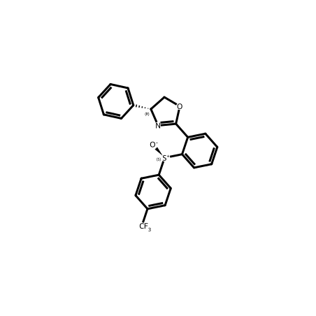 [O-][S@+](c1ccc(C(F)(F)F)cc1)c1ccccc1C1=N[C@H](c2ccccc2)CO1